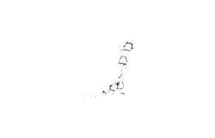 C=CCc1cc(C[C@H](OC)C(=O)OCC)ccc1OCCCOc1ccc(Oc2ccccc2)cc1